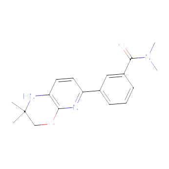 CN(C)C(=O)c1cccc(-c2ccc3c(n2)OCC(C)(C)N3)c1